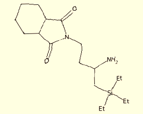 CC[Si](CC)(CC)CC(N)CCN1C(=O)C2CCCCC2C1=O